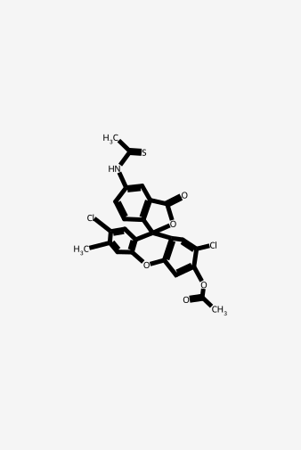 CC(=O)Oc1cc2c(cc1Cl)C1(OC(=O)c3cc(NC(C)=S)ccc31)c1cc(Cl)c(C)cc1O2